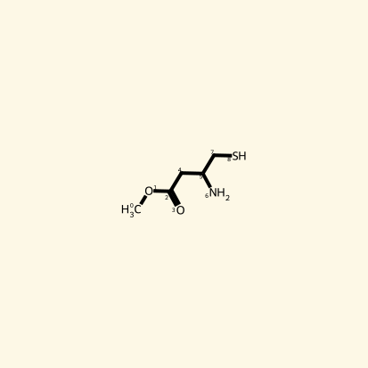 COC(=O)CC(N)CS